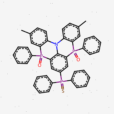 Cc1ccc2c(c1)P(=O)(c1ccccc1)c1cc(P(=S)(c3ccccc3)c3ccccc3)cc3c1N2c1ccc(C)cc1P3(=O)c1ccccc1